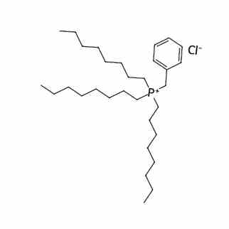 CCCCCCCC[P+](CCCCCCCC)(CCCCCCCC)Cc1ccccc1.[Cl-]